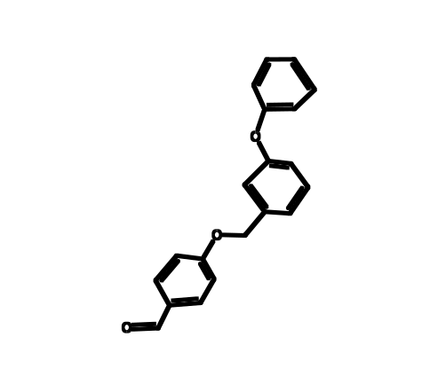 O=Cc1ccc(OCc2cccc(Oc3ccccc3)c2)cc1